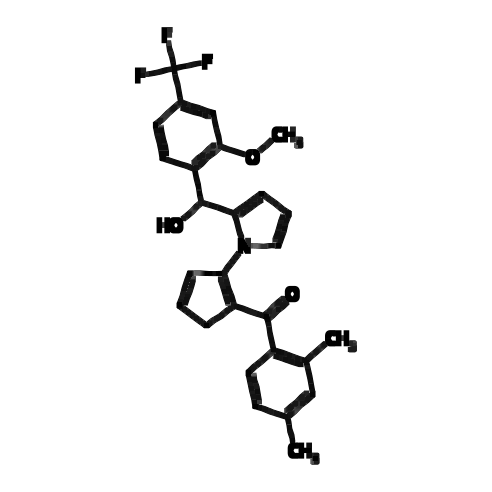 COc1cc(C(F)(F)F)ccc1C(O)c1cccn1C1=C(C(=O)c2ccc(C)cc2C)CC=C1